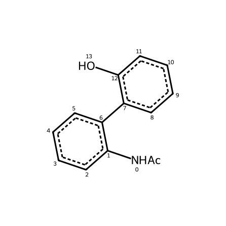 CC(=O)Nc1ccccc1-c1ccccc1O